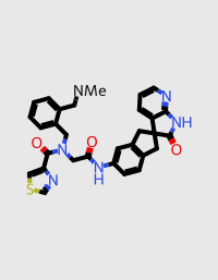 CNCc1ccccc1CN(CC(=O)Nc1ccc2c(c1)CC1(C2)C(=O)Nc2ncccc21)C(=O)c1cscn1